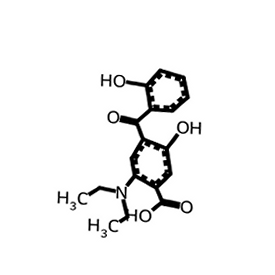 CCN(CC)c1cc(C(=O)c2ccccc2O)c(O)cc1C(=O)O